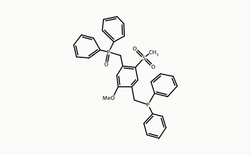 COc1cc(CP(=O)(c2ccccc2)c2ccccc2)c(S(C)(=O)=O)cc1CP(c1ccccc1)c1ccccc1